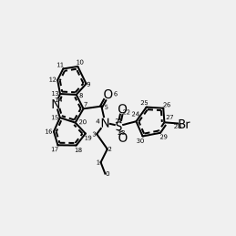 CCCCN(C(=O)c1c2ccccc2nc2ccccc12)S(=O)(=O)c1ccc(Br)cc1